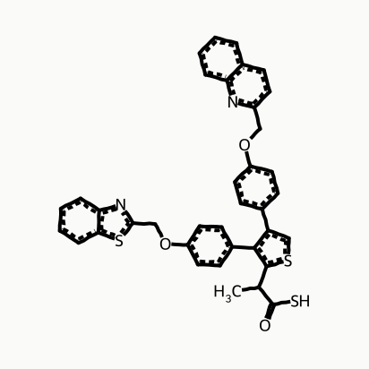 CC(C(=O)S)c1scc(-c2ccc(OCc3ccc4ccccc4n3)cc2)c1-c1ccc(OCc2nc3ccccc3s2)cc1